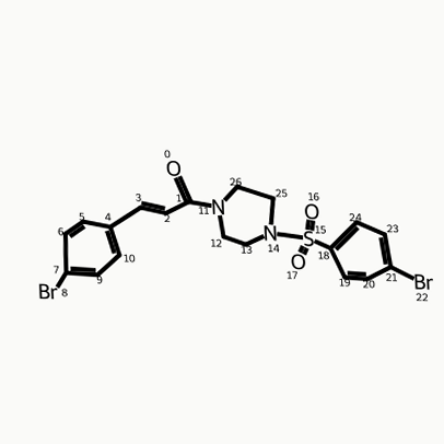 O=C(C=Cc1ccc(Br)cc1)N1CCN(S(=O)(=O)c2ccc(Br)cc2)CC1